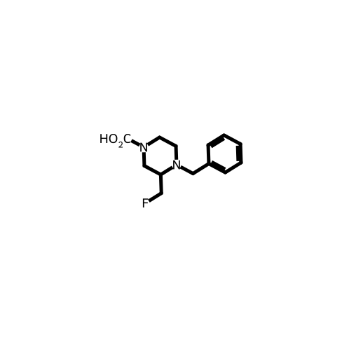 O=C(O)N1CCN(Cc2ccccc2)C(CF)C1